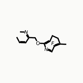 C/C=C\C(COC1=C\CC/C(C)=C(F)/C=N\1)=N/C